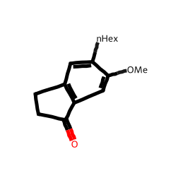 CCCCCCc1cc2c(cc1OC)C(=O)CC2